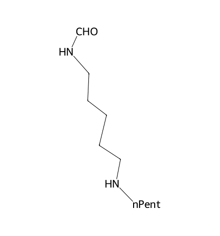 CCCCCNCCCCCNC=O